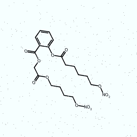 O=C(COC(=O)c1ccccc1OC(=O)CCCCCO[N+](=O)[O-])OCCCCO[N+](=O)[O-]